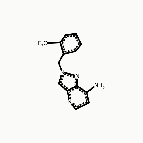 Nc1ccnc2cn(Cc3ccccc3C(F)(F)F)nc12